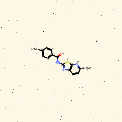 COc1ccc2nc(NC(=O)c3ccc(NC(C)=O)cc3)sc2n1